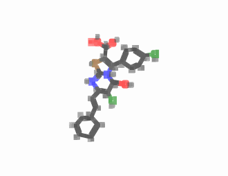 O=C(O)c1sc2nc(/C=C/c3ccccc3)c(Cl)c(=O)n2c1-c1ccc(Cl)cc1